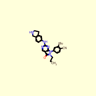 C=CCn1c(=O)c2cnc(Nc3ccc4c(c3)CCNC4)nc2n1-c1ccc(C#N)c(C(C)(C)C)c1